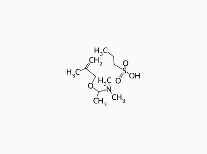 C=C(C)COC(C)N(C)C.CCCS(=O)(=O)O